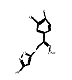 CON=C(CCc1cc(O)no1)c1ccc(Cl)c(Cl)c1